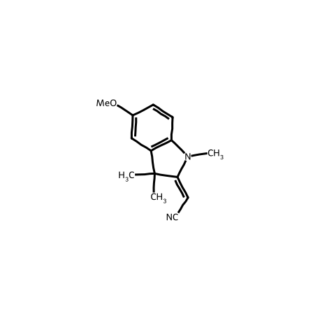 COc1ccc2c(c1)C(C)(C)C(=CC#N)N2C